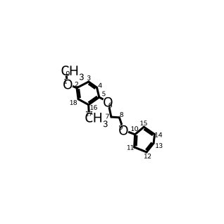 COc1ccc(OCCOc2ccccc2)c(C)c1